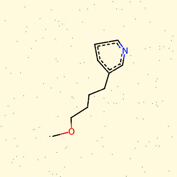 [CH2]OCCCCc1cccnc1